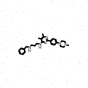 Cc1nc(-c2ccc(N3CCN(C)CC3)cc2)nc(NCCCNCc2ccccc2)c1C